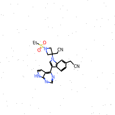 CCS(=O)(=O)N1CC(CC#N)(n2cc(-c3ncnc4[nH]ccc34)c3ccc(CC#N)cc32)C1